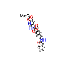 COC(=O)Oc1ccc(C(=O)NS(=O)(=O)c2ccc(CCNC(=O)CC3CCCCC3)cc2)cn1